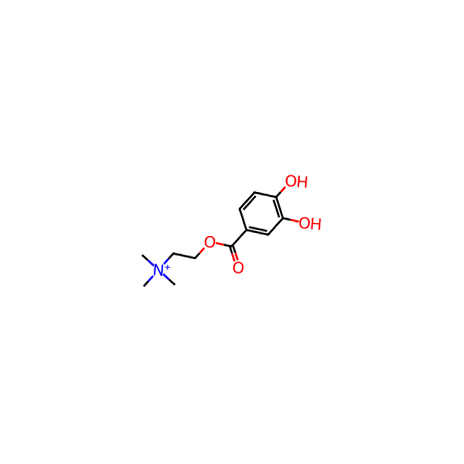 C[N+](C)(C)CCOC(=O)c1ccc(O)c(O)c1